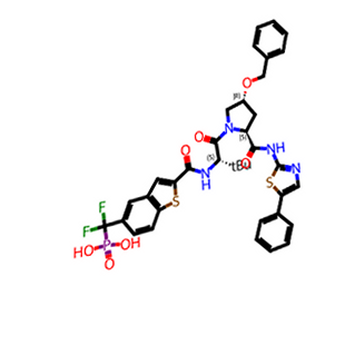 CC(C)(C)[C@H](NC(=O)c1cc2cc(C(F)(F)P(=O)(O)O)ccc2s1)C(=O)N1C[C@H](OCc2ccccc2)C[C@H]1C(=O)Nc1ncc(-c2ccccc2)s1